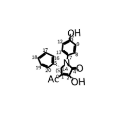 CC(=O)C1=C(O)C(=O)N(c2ccc(O)cc2)[C@H]1c1ccccc1